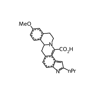 CCCC1=Nc2ccc3c(c2=C1)=C(C(=O)O)N1CCc2cc(OC)ccc2C1C3